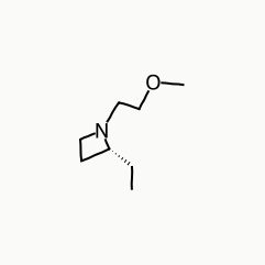 CC[C@@H]1CCN1CCOC